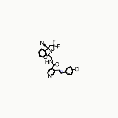 N#CC1(c2ccccc2)CC(F)(F)CN1C(=O)CNC(=O)c1ccncc1/C=C/c1ccc(Cl)cc1